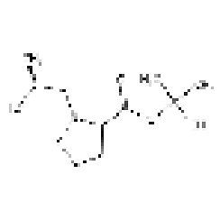 C[C@H](O)CN1CCCC1C(=O)OC(C)(C)C